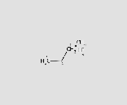 C.CCC.F